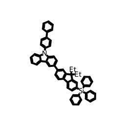 CCC1(CC)c2cc(-c3ccc4c(c3)c3ccccc3n4-c3ccc(-c4ccccc4)cc3)ccc2-c2ccc([Si](c3ccccc3)(c3ccccc3)c3ccccc3)cc21